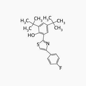 CC(C)(C)c1cc(-c2nc(-c3ccc(F)cc3)cs2)c(O)c(C(C)(C)C)c1